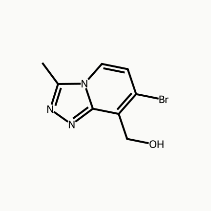 Cc1nnc2c(CO)c(Br)ccn12